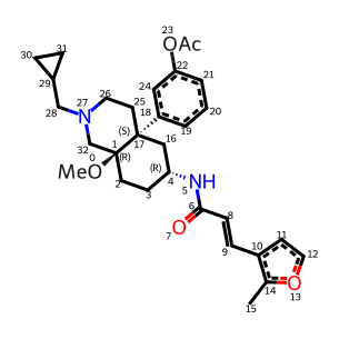 CO[C@]12CC[C@@H](NC(=O)C=Cc3ccoc3C)C[C@]1(c1cccc(OC(C)=O)c1)CCN(CC1CC1)C2